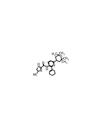 CC1(C)CC(c2ccc(NC(=O)C3=NC(C#N)CN3)c(C3=CCCCC3)n2)CC(C)(C)O1